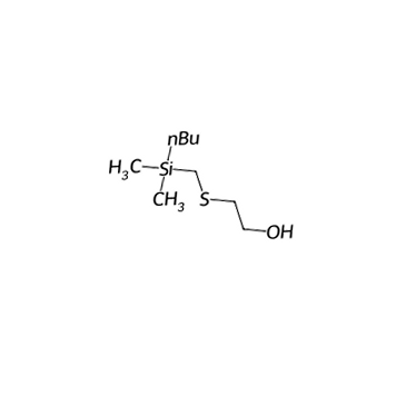 CCCC[Si](C)(C)CSCCO